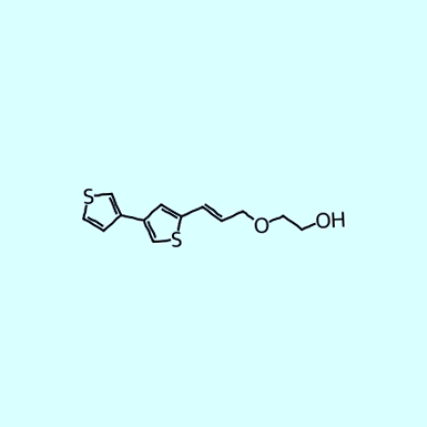 OCCOCC=Cc1cc(-c2ccsc2)cs1